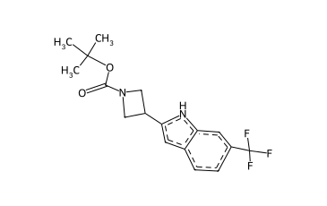 CC(C)(C)OC(=O)N1CC(c2cc3ccc(C(F)(F)F)cc3[nH]2)C1